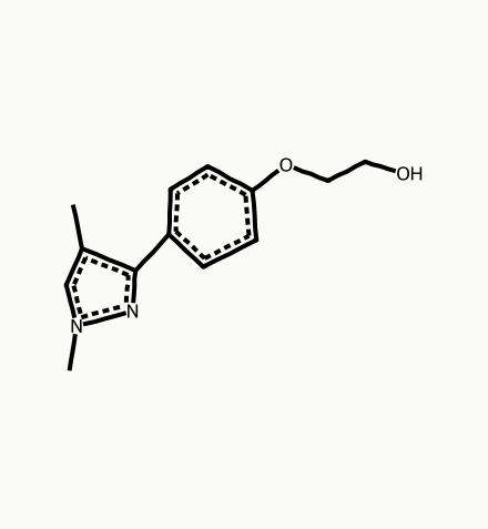 Cc1cn(C)nc1-c1ccc(OCCO)cc1